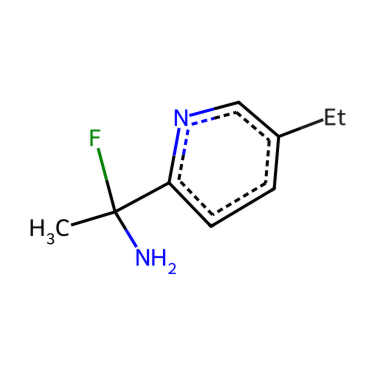 CCc1ccc(C(C)(N)F)nc1